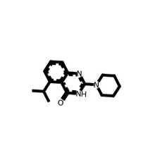 CC(C)c1cccc2nc(N3CCCCC3)[nH]c(=O)c12